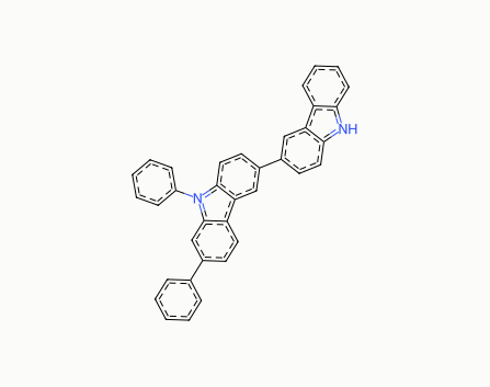 c1ccc(-c2ccc3c4cc(-c5ccc6[nH]c7ccccc7c6c5)ccc4n(-c4ccccc4)c3c2)cc1